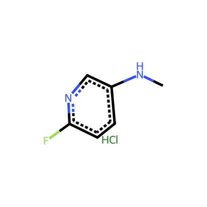 CNc1ccc(F)nc1.Cl